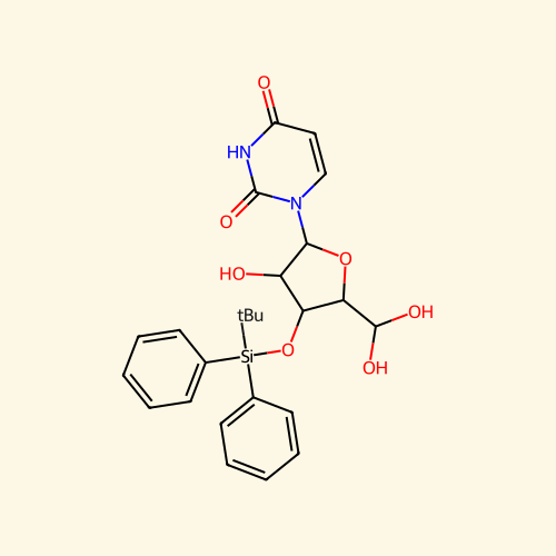 CC(C)(C)[Si](OC1C(O)C(n2ccc(=O)[nH]c2=O)OC1C(O)O)(c1ccccc1)c1ccccc1